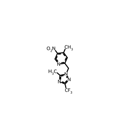 Cc1cc(Cn2nc(C(F)(F)F)nc2C)ncc1[N+](=O)[O-]